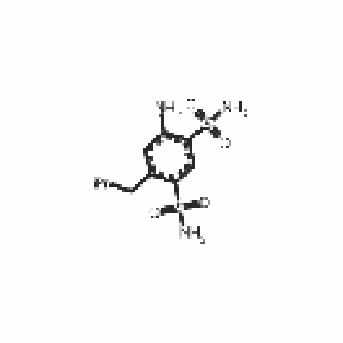 CC(C)Cc1cc(N)c(S(N)(=O)=O)cc1S(N)(=O)=O